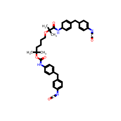 CC(C)(CCCCOC(C)(C)C(=O)NC1C=CC(CC2C=CC(N=C=O)=CC2)=CC1)OC(=O)Nc1ccc(Cc2ccc(N=C=O)cc2)cc1